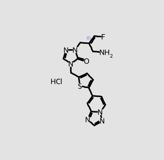 Cl.NC/C(=C\F)Cn1ncn(Cc2ccc(-c3ccn4ncnc4c3)s2)c1=O